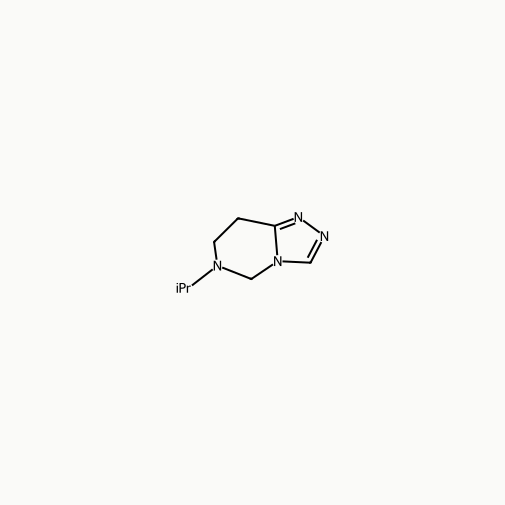 CC(C)N1CCc2nncn2C1